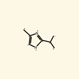 CC1=C[N]C(C(C)C)=N1